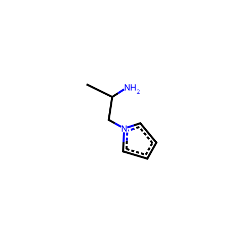 CC(N)Cn1cccc1